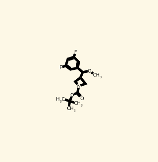 COC(c1cc(F)cc(F)c1)C1CN(C(=O)OC(C)(C)C)C1